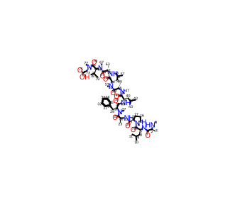 CN[C@@H](C)C(=O)N[C@@H](CC(C)C)C(=O)N1CCC[C@H]1C(=O)N[C@@H](C)C(=O)N(C)[C@@H](Cc1ccccc1)C(=O)N[C@@H](CC(C)C)C(=O)N(C)[C@@H](C)C(=O)N(C)[C@@H](CC(C)C)C(=O)N[C@@H](C)C(=O)N(C)[C@H](C(=O)N(C)CC(=O)O)C(C)C